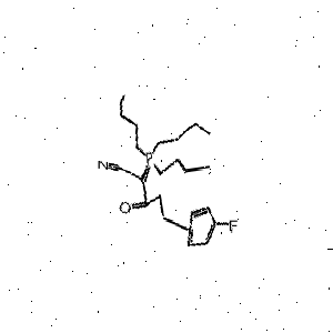 CCCCP(CCCC)(CCCC)=C(C#N)C(=O)CCc1ccc(F)cc1